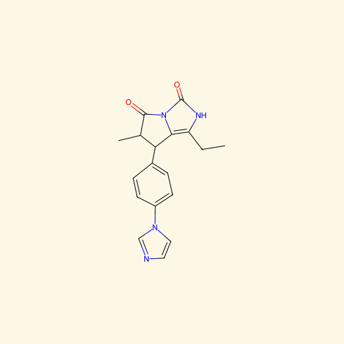 CCc1[nH]c(=O)n2c1C(c1ccc(-n3ccnc3)cc1)C(C)C2=O